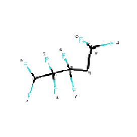 F[C](F)C(F)(F)C(F)(F)CC(F)F